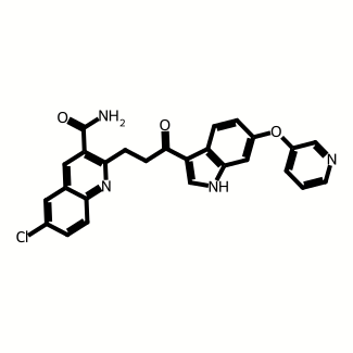 NC(=O)c1cc2cc(Cl)ccc2nc1CCC(=O)c1c[nH]c2cc(Oc3cccnc3)ccc12